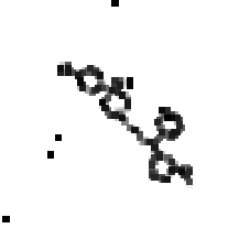 COc1cccc(/C(=C/CCN2CCC(O)(c3ccc(Cl)cc3)CC2)c2cccnc2)c1